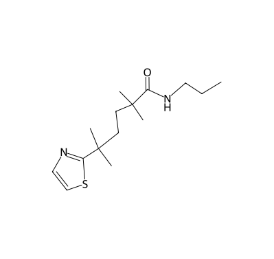 CCCNC(=O)C(C)(C)CCC(C)(C)c1nccs1